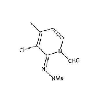 CN/N=c1/c(Cl)c(C)ccn1C=O